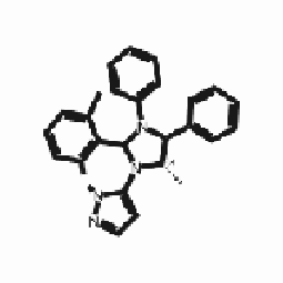 Cc1cccc(C)c1C1N(c2ccccc2)C(c2ccccc2)[C@H](C)N1c1ccnn1C